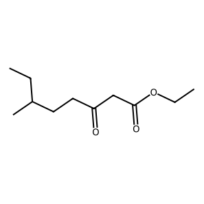 CCOC(=O)CC(=O)CCC(C)CC